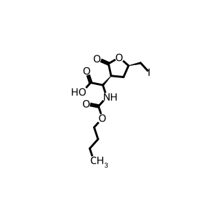 CCCCOC(=O)NC(C(=O)O)[C@@H]1C[C@H](CI)OC1=O